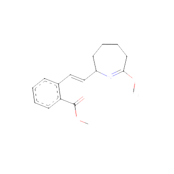 COC(=O)c1ccccc1/C=C/C1CCCCC(OC)=N1